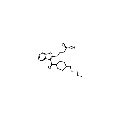 CCCCCC1CCC(C(=O)c2c(CCCC(=O)O)[nH]c3ccccc23)CC1